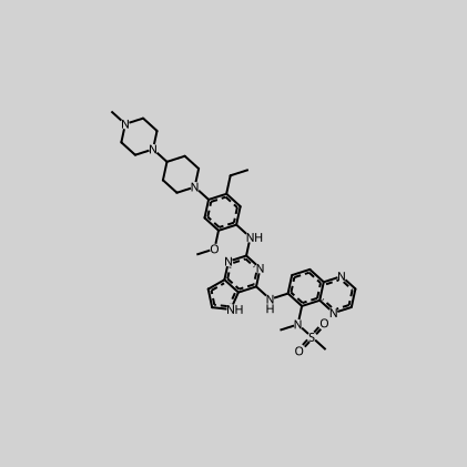 CCc1cc(Nc2nc(Nc3ccc4nccnc4c3N(C)S(C)(=O)=O)c3[nH]ccc3n2)c(OC)cc1N1CCC(N2CCN(C)CC2)CC1